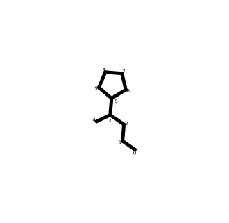 CCC[C](C)C1CCCC1